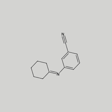 N#Cc1cccc(N=C2CCCCC2)c1